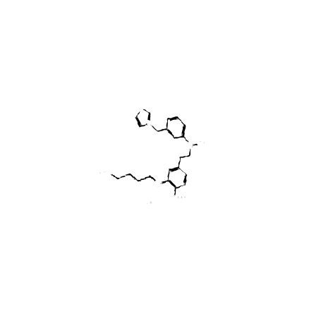 CCCCCCCCCCCCCCOc1cc(CCN(C(C)=O)c2cccc(C[n+]3ccsc3)c2)ccc1OC.[Br-]